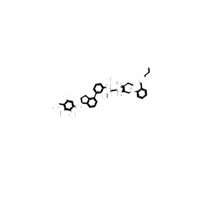 CCCOC(=O)c1ccccc1N1CCc2c(nc(C(=O)Nc3cccc(-c4cccc5c4CCC5Oc4cc(OC)c(C=O)c(F)c4Cl)c3Cl)n2C)C1